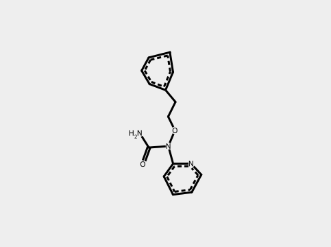 NC(=O)N(OCCc1ccccc1)c1ccccn1